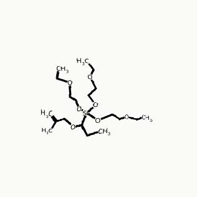 C=C(C)COC(CC)[Si](OCCOCC)(OCCOCC)OCCOCC